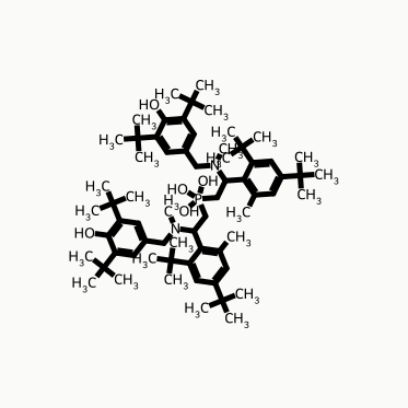 Cc1cc(C(C)(C)C)cc(C(C)(C)C)c1C(CP(O)(O)(O)CC(c1c(C)cc(C(C)(C)C)cc1C(C)(C)C)N(C)Cc1cc(C(C)(C)C)c(O)c(C(C)(C)C)c1)N(C)Cc1cc(C(C)(C)C)c(O)c(C(C)(C)C)c1